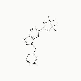 CC1(C)OB(c2ccc3ncn(Cc4cccnc4)c3c2)OC1(C)C